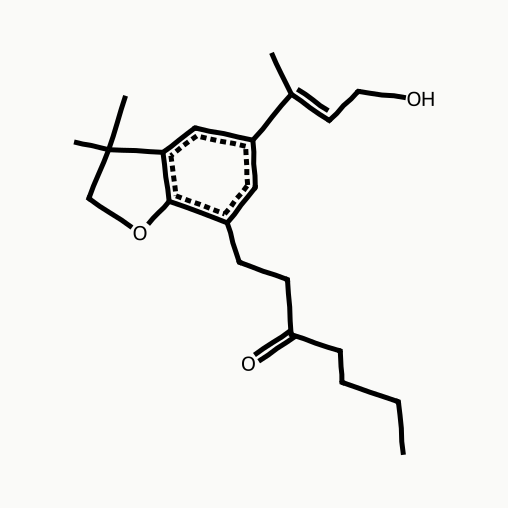 CCCCC(=O)CCc1cc(/C(C)=C/CO)cc2c1OCC2(C)C